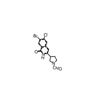 O=CN1CCC(c2cc3cc(Cl)c(Br)cc3c(=O)[nH]2)C1